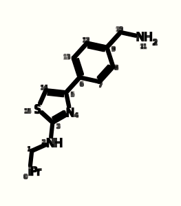 CC(C)CNc1nc(-c2ccc(CN)cc2)cs1